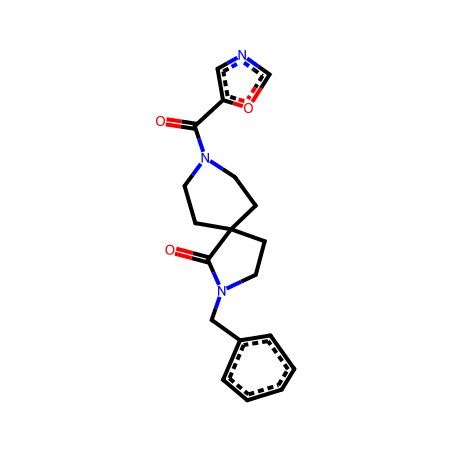 O=C(c1cnco1)N1CCC2(CC1)CCN(Cc1ccccc1)C2=O